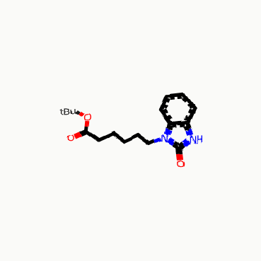 CC(C)(C)OC(=O)CCCCCn1c(=O)[nH]c2ccccc21